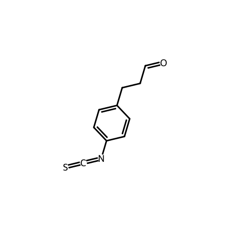 O=CCCc1ccc(N=C=S)cc1